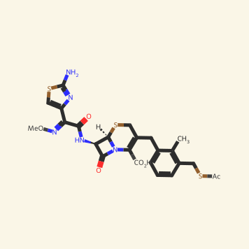 CON=C(C(=O)N[C@@H]1C(=O)N2C(C(=O)O)=C(Cc3cccc(CSC(C)=O)c3C)CS[C@H]12)c1csc(N)n1